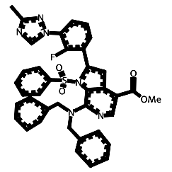 COC(=O)c1cnc(N(Cc2ccccc2)Cc2ccccc2)c2c1cc(-c1cccc(-n3cnc(C)n3)c1F)n2S(=O)(=O)c1ccccc1